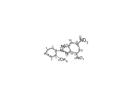 Cc1ccccc1-n1nc2cc([N+](=O)[O-])cc([N+](=O)[O-])c2n1